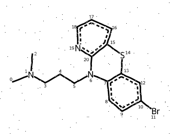 CN(C)CCCN1c2ccc(Br)cc2Sc2cccnc21